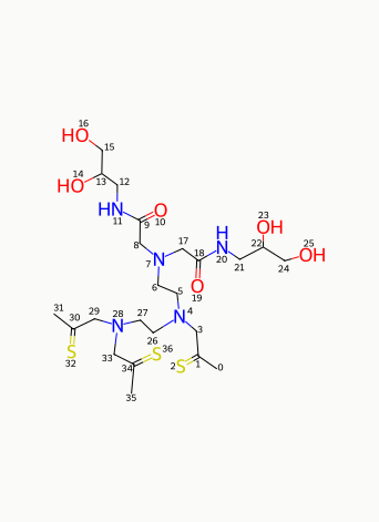 CC(=S)CN(CCN(CC(=O)NCC(O)CO)CC(=O)NCC(O)CO)CCN(CC(C)=S)CC(C)=S